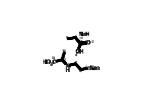 CCC(=O)O.CCCCCCCCCCCNC(C)C(=O)O.[NaH]